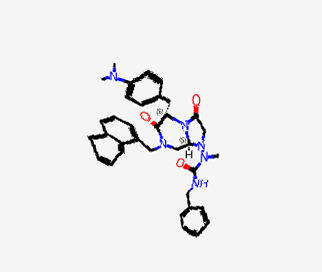 CN(C)c1ccc(C[C@H]2C(=O)N(Cc3cccc4ccccc34)C[C@H]3N2C(=O)CN3N(C)C(=O)NCc2ccccc2)cc1